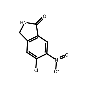 O=C1NCc2cc(Cl)c([N+](=O)[O-])cc21